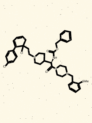 CSc1ccccc1CN1CCN(C(=O)[C@H](NC(=O)OCc2ccccc2)C2CCN(CCC3(Cl)CC=CC=C3c3ccc(Cl)cc3)CC2)CC1